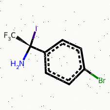 N[C@](I)(c1ccc(Br)cc1)C(F)(F)F